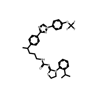 CC(C)c1ccccc1N1CCS/C1=N\C(=O)NCCCC(C)c1ccc(-c2ncn(-c3ccc(OC(F)(F)F)cc3)n2)cc1